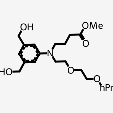 CCCOCCOCCN(CCCC(=O)OC)c1cc(CO)cc(CO)c1